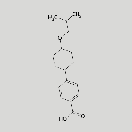 CC(C)COC1CCC(c2ccc(C(=O)O)cc2)CC1